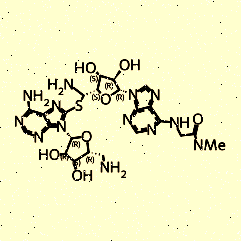 CNC(=O)CNc1ncnc2c1ncn2[C@@H]1O[C@H](C(N)Sc2nc3c(N)ncnc3n2[C@@H]2O[C@H](CN)[C@@H](O)[C@H]2O)[C@@H](O)[C@H]1O